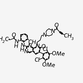 C=CC(=O)Nc1cccc(C)c1Nc1ncc2cc(-c3c(Cl)c(OC)cc(OC)c3Cl)c(=O)n(CCCN3CCN(C(=O)C#CC)CC3)c2n1